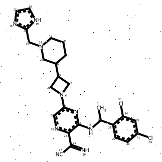 CC(Nc1nc(N2CC(C3CCCN(Cc4ncc[nH]4)C3)C2)cnc1C(=N)C#N)c1ccc(Cl)cc1Cl